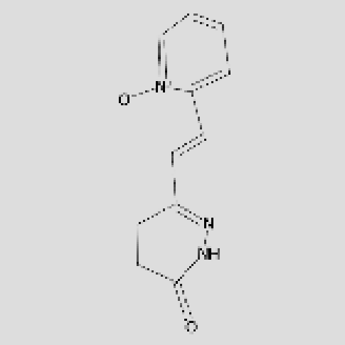 O=C1CCC(C=Cc2cccc[n+]2[O-])=NN1